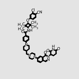 CC1(C)[C@H](NC(=O)c2ccc(N3CCC(CN4CCN(c5ccc6cnn(C7CCC(=O)NC7=O)c(=O)c6c5)CC4)CC3)cc2)C(C)(C)[C@H]1Oc1ccc(C#N)c(Cl)c1